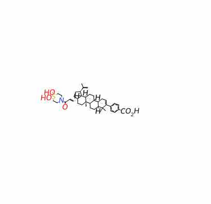 C=C(C)[C@@H]1CC[C@]2(/C=C/C(=O)N3CCS(O)(O)CC3)CC[C@]3(C)[C@H](CC[C@@H]4[C@@]5(C)CC=C(c6ccc(C(=O)O)cc6)C(C)(C)[C@@H]5CC[C@]43C)[C@@H]12